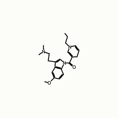 CCCN1C=CCC(C(=O)n2cc(CCN(C)C)c3cc(OC)ccc32)=C1